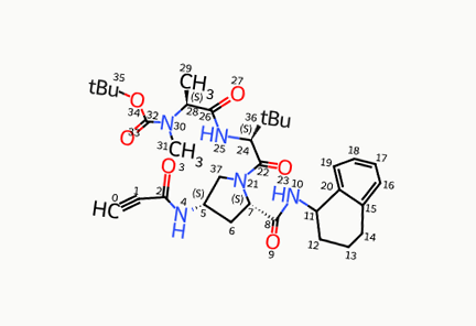 C#CC(=O)N[C@H]1C[C@@H](C(=O)NC2CCCc3ccccc32)N(C(=O)[C@@H](NC(=O)[C@H](C)N(C)C(=O)OC(C)(C)C)C(C)(C)C)C1